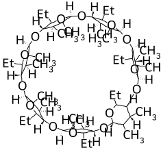 CCC1O[C@@H]2O[C@@H]3C(CC)O[C@@H](O[C@@H]4C(CC)O[C@@H](O[C@@H]5C(CC)O[C@@H](O[C@@H]6C(CC)O[C@@H](O[C@@H]7C(CC)O[C@@H](O[C@@H]8C(CC)O[C@@H](O[C@H]1[C@H](C)C2C)C(C)[C@H]8C)C(C)[C@H]7C)C(C)[C@H]6C)C(C)[C@H]5C)C(C)[C@H]4C)C(C)[C@H]3C